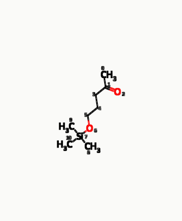 CC(=O)CCCO[Si](C)(C)C